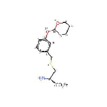 CCOC(=O)[C@@H](N)CSCc1cccc(OC2CCCCO2)c1